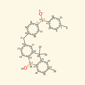 Cc1ccc([S+]([O-])c2ccc(Cc3ccc4c(c3)C(C)(C)c3cc(C)ccc3[S+]4[O-])cc2)cc1